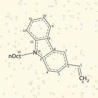 C=Cc1ccc2c(c1)c1ccccc1n2CCCCCCCC